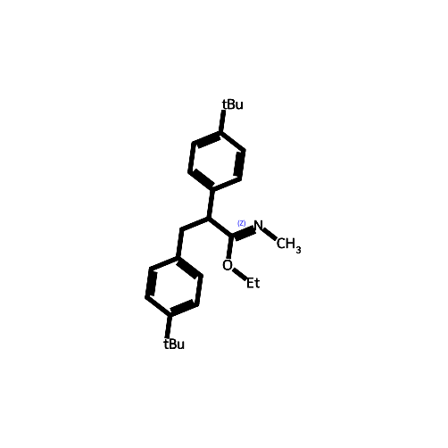 CCO/C(=N\C)C(Cc1ccc(C(C)(C)C)cc1)c1ccc(C(C)(C)C)cc1